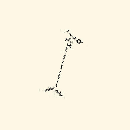 CNCC(=O)[C@@H](CCCCNC(=O)CCOCCOCCOCCOCCOCCOCCN(C[C@H](O)[C@@H](O)[C@H](O)[C@H](O)CO)C[C@H](O)[C@@H](O)C(O)[C@H](O)CO)CN[C@H](C(=O)N[C@@H](CCCNC(N)=O)C(=O)Nc1ccc(CO)cc1)C(C)C